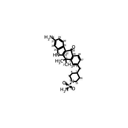 CC1(C)c2cc(CC3CCN(S(N)(=O)=O)CC3)ccc2C(=O)c2c1[nH]c1cc(N)ccc21